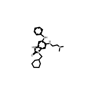 CN(C)CCNc1cc2c(cc1Nc1ccccc1)[nH]c(=O)n2CC1CCCCC1